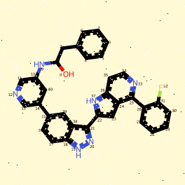 OC(Cc1ccccc1)Nc1cncc(-c2ccc3[nH]nc(-c4cc5c(-c6ccccc6F)nccc5[nH]4)c3c2)c1